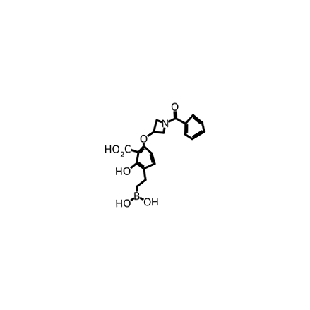 O=C(O)c1c(OC2CN(C(=O)c3ccccc3)C2)ccc(CCB(O)O)c1O